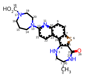 C[C@@H]1CNc2c(sc3ccc4nc(N5CCCN(C(=O)O)CC5)ccc4c23)C(=O)N1